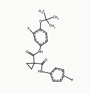 CC(C)(C)Oc1ccc(NC(=O)C2(C(=O)Nc3ccc(F)cc3)CC2)cc1F